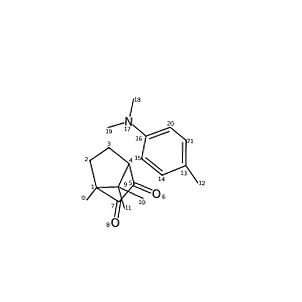 CC12CCC(C(=O)C1=O)C2(C)C.Cc1ccc(N(C)C)cc1